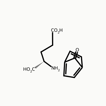 N[C@@H](CCC(=O)O)C(=O)O.O=C1C2=CC=C1C=C2